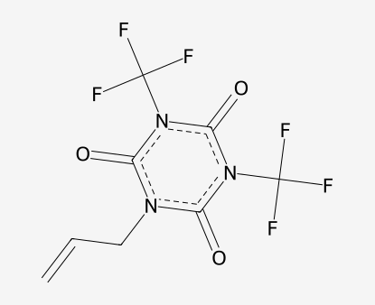 C=CCn1c(=O)n(C(F)(F)F)c(=O)n(C(F)(F)F)c1=O